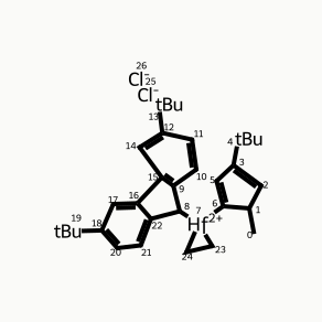 CC1C=C(C(C)(C)C)C=[C]1[Hf+2]1([CH]2c3ccc(C(C)(C)C)cc3-c3cc(C(C)(C)C)ccc32)[CH2][CH2]1.[Cl-].[Cl-]